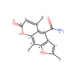 Cc1cc2c(C(N)=O)c3c(C)cc(=O)oc3c(C)c2o1